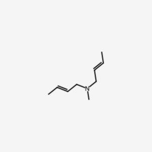 CC=CCN(C)CC=CC